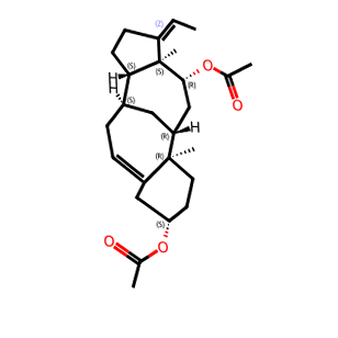 C/C=C1/CC[C@H]2[C@@H]3CC=C4C[C@@H](OC(C)=O)CC[C@]4(C)[C@H](C3)C[C@@H](OC(C)=O)[C@]12C